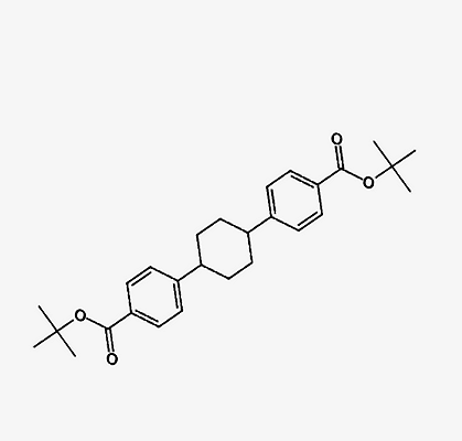 CC(C)(C)OC(=O)c1ccc(C2CCC(c3ccc(C(=O)OC(C)(C)C)cc3)CC2)cc1